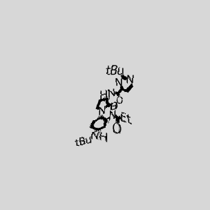 CCC(=O)N[C@H]1C[C@H](NC(C)(C)C)CC[C@@H]1N1CC[C@H](NC(=O)c2ccnc(C(C)(C)C)n2)C1=O